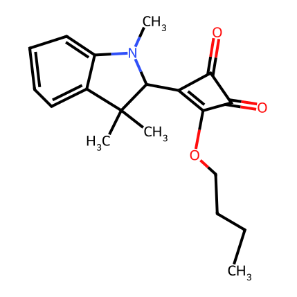 CCCCOc1c(C2N(C)c3ccccc3C2(C)C)c(=O)c1=O